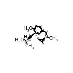 Cc1ccc(CN(C)C2CC2)cc1C#C[SiH](C)C